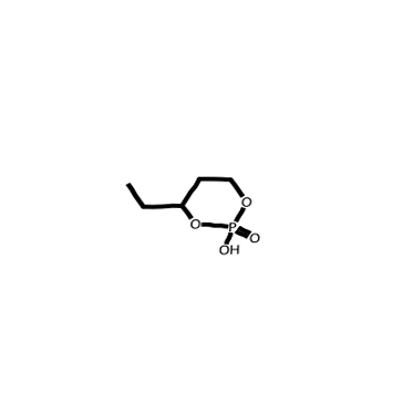 CCC1CCOP(=O)(O)O1